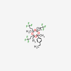 C=Cc1ccc([Si]2(C)O[Si](C)(CCC(F)(F)F)O[Si](C)(CCC(F)(F)F)O[Si](C)(CCC(F)(F)F)O2)cc1